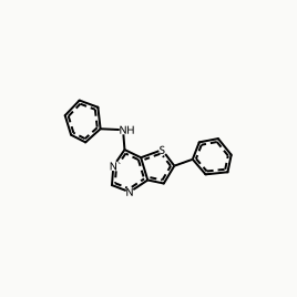 c1ccc(Nc2ncnc3cc(-c4ccccc4)sc23)cc1